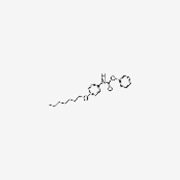 CCCCCCCOc1ccc(NC(=O)Oc2ccccc2)cc1